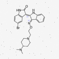 CN(C)C1CCN(CCO/N=C2/C(=C3/C(=O)Nc4ccc(Br)cc43)Nc3ccccc32)CC1